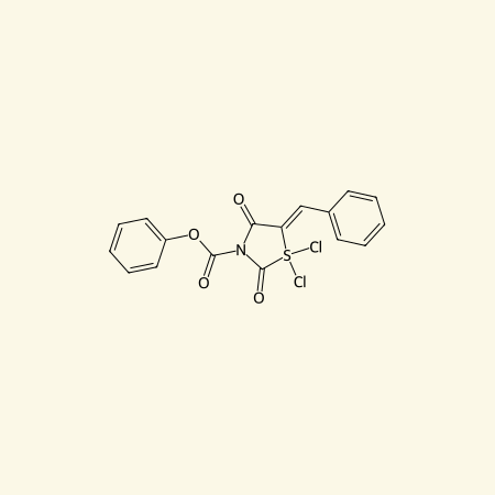 O=C(Oc1ccccc1)N1C(=O)C(=Cc2ccccc2)S(Cl)(Cl)C1=O